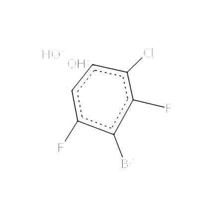 [B+2]c1c(F)ccc(Cl)c1F.[OH-].[OH-]